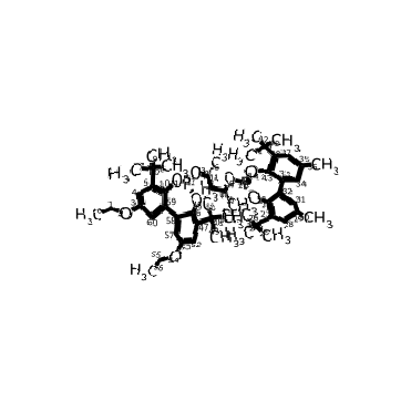 CCOc1cc(C(C)(C)C)c2op(O[C@H](C)C[C@@H](C)Op3oc4c(C(C)(C)C)cc(C)cc4c4cc(C)cc(C(C)(C)C)c4o3)oc3c(C(C)(C)C)cc(OCC)cc3c2c1